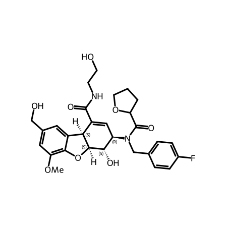 COc1cc(CO)cc2c1O[C@@H]1[C@@H](O)[C@H](N(Cc3ccc(F)cc3)C(=O)C3CCCO3)C=C(C(=O)NCCO)[C@H]21